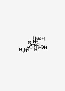 NCCOC(=O)C(NCCO)NCCO